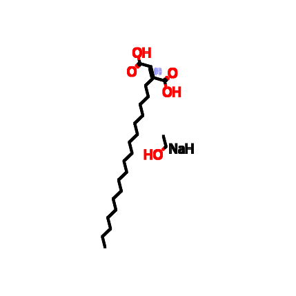 CCCCCCCCCCCCCCCCCC/C(=C\C(=O)O)C(=O)O.CCO.[NaH]